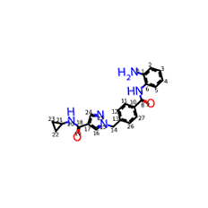 Nc1ccccc1NC(=O)c1ccc(Cn2cc(C(=O)NC3CC3)cn2)cc1